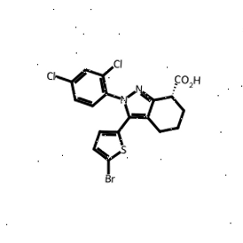 O=C(O)[C@@H]1CCCc2c1nn(-c1ccc(Cl)cc1Cl)c2-c1ccc(Br)s1